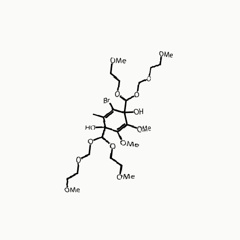 COCCOCOC(OCCOC)C1(O)C(C)=C(Br)C(O)(C(OCCOC)OCOCCOC)C(OC)=C1OC